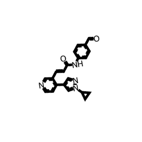 O=Cc1ccc(NC(=O)C=Cc2cnccc2-c2cnn(C3CC3)c2)cc1